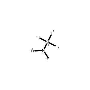 CC(C)N(C)[Si](I)(I)I